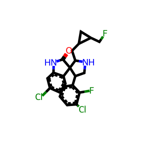 O=C1Nc2cc(Cl)ccc2C12C(CC1CC1CF)NCC2c1cccc(Cl)c1F